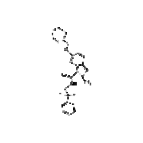 Cn1nc2ccc(OCc3ccccn3)cc2c1C(=O)NCC(F)(F)c1ccccc1